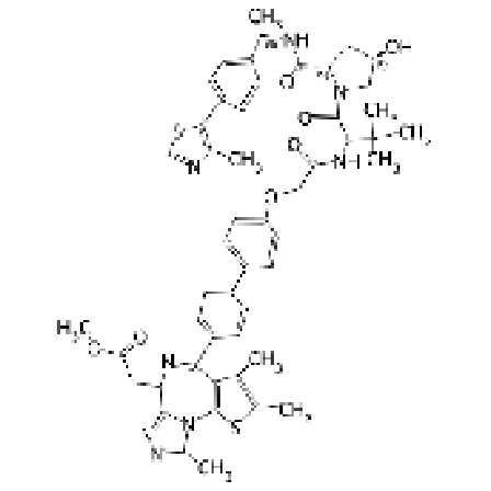 COC(=O)CC1N=C(c2ccc(-c3ccc(OCC(=O)NC(C(=O)N4C[C@H](O)C[C@H]4C(=O)N[C@@H](C)c4ccc(-c5scnc5C)cc4)C(C)(C)C)cc3)cc2)c2c(sc(C)c2C)-n2c(C)nnc21